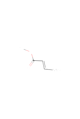 CN/C=C/C(=O)OC(C)=O